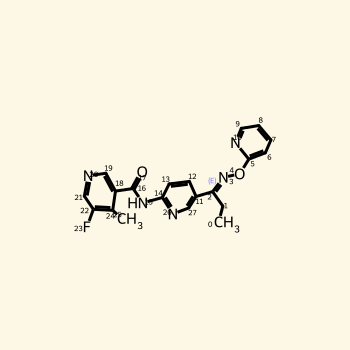 CC/C(=N\Oc1ccccn1)c1ccc(NC(=O)c2cncc(F)c2C)nc1